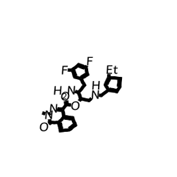 CCc1cccc(CNCC(OC(=O)c2nn(C)c(=O)c3ccccc23)C(N)Cc2cc(F)cc(F)c2)c1